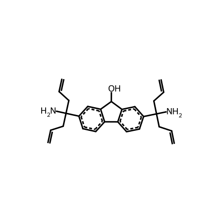 C=CCC(N)(CC=C)c1ccc2c(c1)C(O)c1cc(C(N)(CC=C)CC=C)ccc1-2